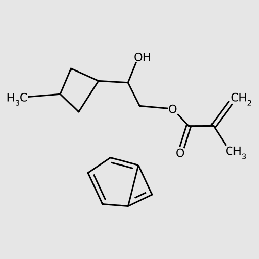 C=C(C)C(=O)OCC(O)C1CC(C)C1.c1cc2cc-2c1